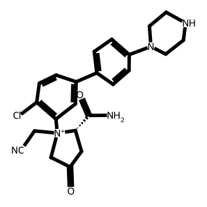 N#CC[N+]1(c2cc(-c3ccc(N4CCNCC4)cc3)ccc2Cl)CC(=O)C[C@H]1C(N)=O